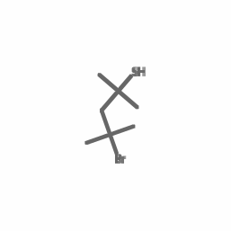 CC(C)(S)CC(C)(C)Br